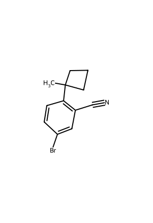 CC1(c2ccc(Br)cc2C#N)CCC1